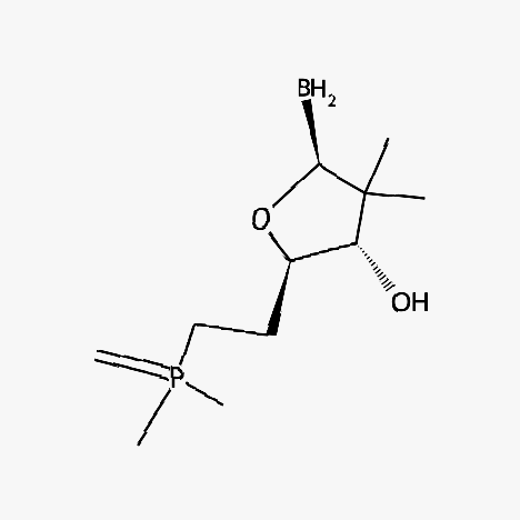 B[C@@H]1O[C@H](CCP(=C)(C)C)[C@@H](O)C1(C)C